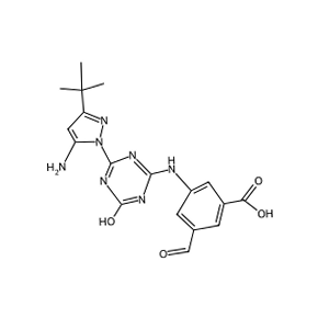 CC(C)(C)c1cc(N)n(-c2nc(O)nc(Nc3cc(C=O)cc(C(=O)O)c3)n2)n1